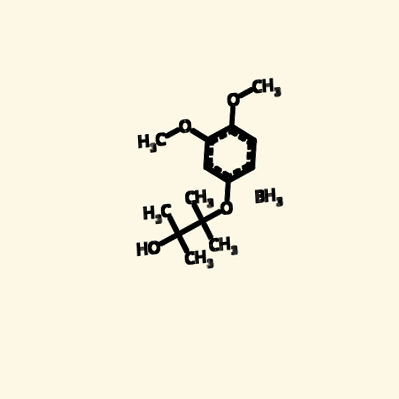 B.COc1ccc(OC(C)(C)C(C)(C)O)cc1OC